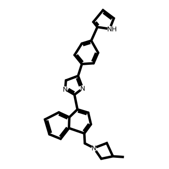 CC1CN(Cc2ccc(C3=NCC(c4ccc(-c5ccc[nH]5)cc4)=N3)c3ccccc23)C1